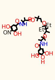 CCC(C)(OCCC(C)(C)COOCC(C)C(C)(C)NC(=O)c1cc(O)c(N=O)c(O)c1)C(C)(CC)C(C)COC(C)(C)C(C)NC(=O)c1cc(O)c(O)c(O)c1